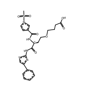 CS(=O)(=O)n1ccc(C(=O)N[C@@H](CCOCCCC(=O)O)C(=O)Nc2nc(-c3ccccc3)cs2)c1